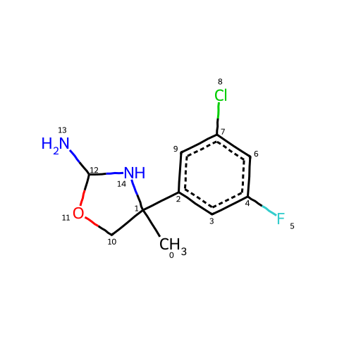 CC1(c2cc(F)cc(Cl)c2)COC(N)N1